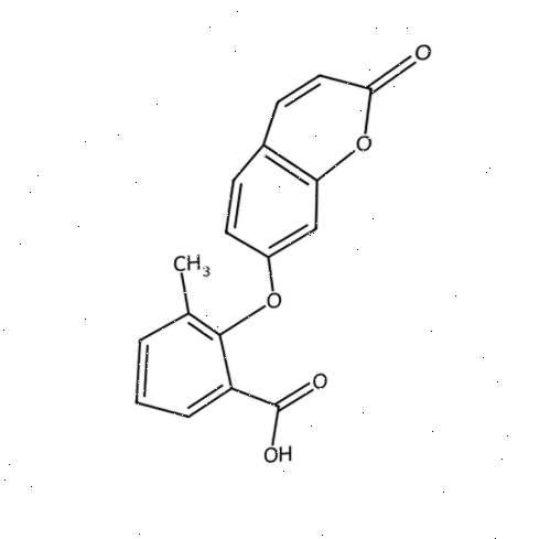 Cc1cccc(C(=O)O)c1Oc1ccc2ccc(=O)oc2c1